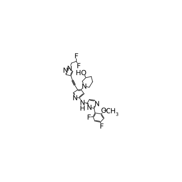 COc1cc(F)cc(F)c1-c1nccc(Nc2cc(N3CCC[C@H](O)C3)c(C#Cc3cnn(CC(F)F)c3)cn2)n1